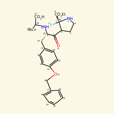 CCOC(=O)[C@@]1(F)NCCC1C(=O)[C@H](Cc1ccc(OCc2ccccc2)cc1)NC(C(=O)O)C(C)(C)C